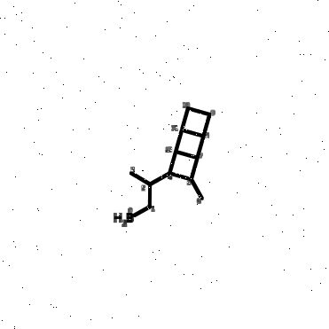 BCC(C)C1C(C)C2C3CCC3C12